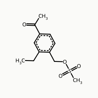 CCc1cc(C(C)=O)ccc1COS(C)(=O)=O